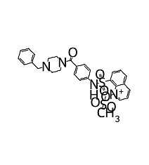 CS(=O)(=O)O[n+]1cccc2cccc(S(=O)(=O)Nc3ccc(C(=O)N4CCN(Cc5ccccc5)CC4)cc3)c21